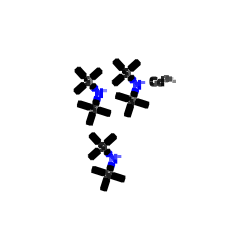 C[Si](C)(C)[N-][Si](C)(C)C.C[Si](C)(C)[N-][Si](C)(C)C.C[Si](C)(C)[N-][Si](C)(C)C.[Gd+3]